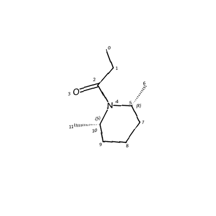 CCC(=O)N1[C@H](C)CCC[C@@H]1C